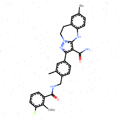 COc1c(F)cccc1C(=O)NCc1ccc(-c2nn3c(c2C(N)=O)Nc2ccc(C(C)(C)C)cc2CC3)cc1C